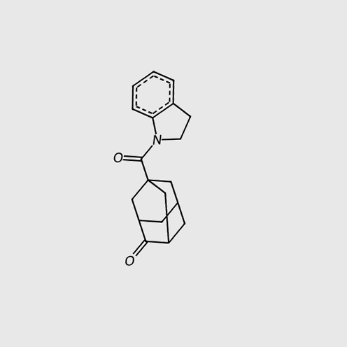 O=C1C2CC3CC1CC(C(=O)N1CCc4ccccc41)(C3)C2